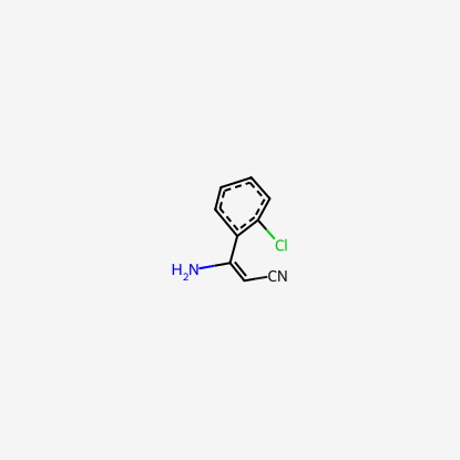 N#C/C=C(/N)c1ccccc1Cl